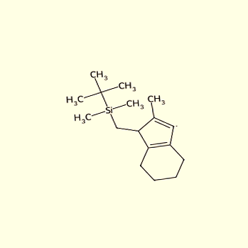 CC1=[C]C2=C(CCCC2)C1C[Si](C)(C)C(C)(C)C